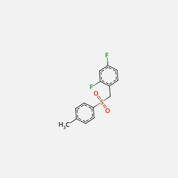 Cc1ccc(S(=O)(=O)Cc2ccc(F)cc2F)cc1